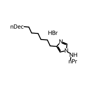 Br.CCCCCCCCCCCCCCCCc1cn(NCCC)cn1